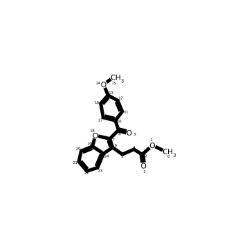 COC(=O)CCc1c(C(=O)c2ccc(OC)cc2)oc2ccccc12